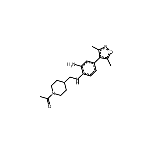 CC(=O)N1CCC(CNc2ccc(-c3c(C)noc3C)cc2N)CC1